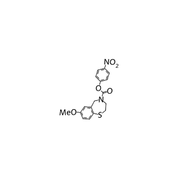 COc1ccc2c(c1)CN(C(=O)Oc1ccc([N+](=O)[O-])cc1)CCS2